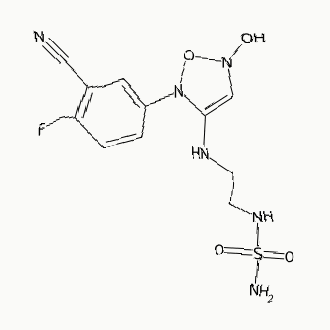 N#Cc1cc(N2ON(O)C=C2NCCNS(N)(=O)=O)ccc1F